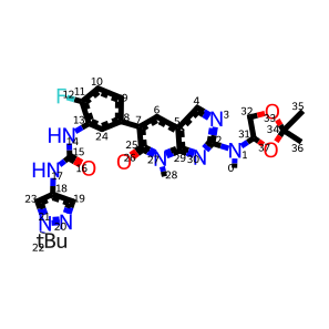 CN(c1ncc2cc(-c3ccc(F)c(NC(=O)Nc4cnn(C(C)(C)C)c4)c3)c(=O)n(C)c2n1)C1COC(C)(C)O1